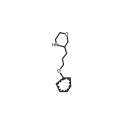 [c]1ccccc1OCCCC1COCCN1